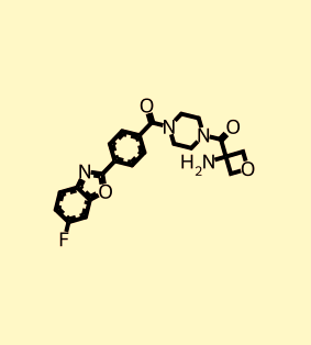 NC1(C(=O)N2CCN(C(=O)c3ccc(-c4nc5ccc(F)cc5o4)cc3)CC2)COC1